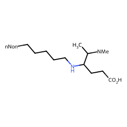 CCCCCCCCCCCCCCNC(CCC(=O)O)C(C)NC